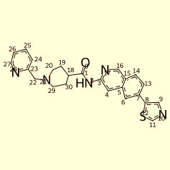 O=C(Nc1cc2cc(-c3cncs3)ccc2cn1)C1CCN(Cc2ccccn2)CC1